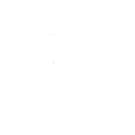 COC1=Cc2c(C(=O)O)c(Cl)c(-c3cccnc3F)n2CC1